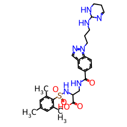 Cc1cc(C)c(S(=O)(=O)NC(CNC(=O)c2ccc3c(cnn3CCCNC3N=CCCN3)c2)C(=O)O)c(C)c1